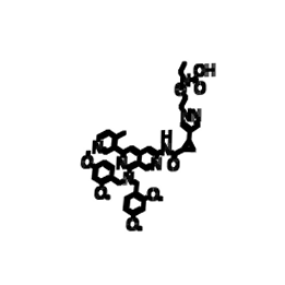 CCN(OCCn1cc(C2CC2C(=O)Nc2cc3cc(-c4cnccc4C)nc(N(Cc4ccc(OC)cc4OC)Cc4ccc(OC)cc4OC)c3cn2)cn1)C(=O)O